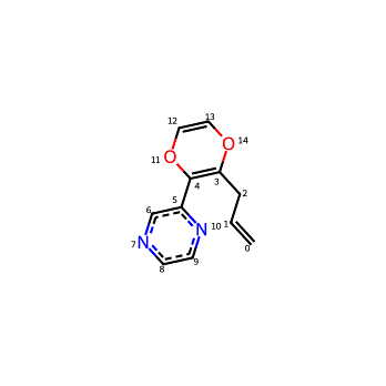 C=CCC1=C(c2cnccn2)OC=CO1